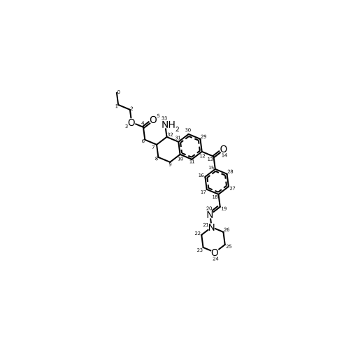 CCCOC(=O)CC1CCc2cc(C(=O)c3ccc(C=NN4CCOCC4)cc3)ccc2C1N